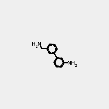 NCc1cccc(-c2cccc(N)c2)c1